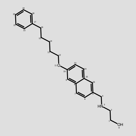 OCCNCc1ccc2cc(OCCCCCc3ccccc3)ccc2c1